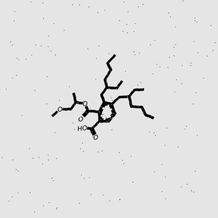 CCCCC(CC)Cc1ccc(C(=O)O)c(C(=O)OC(C)COC)c1CC(CC)CCCC